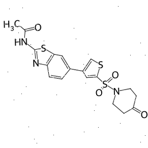 CC(=O)Nc1nc2ccc(-c3csc(S(=O)(=O)N4CCC(=O)CC4)c3)cc2s1